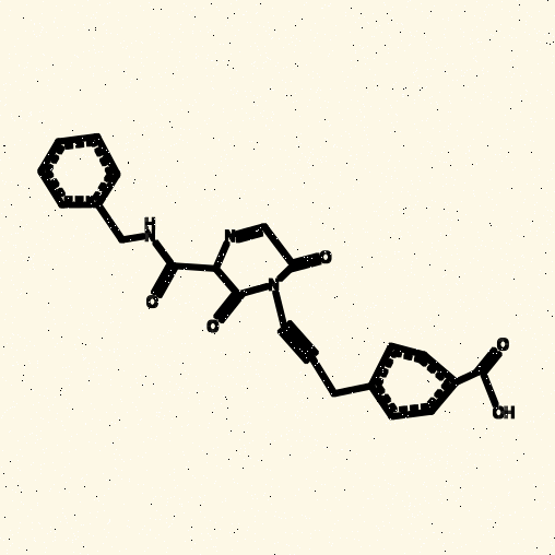 O=C(O)c1ccc(CC#CN2C(=O)C=NC(C(=O)NCc3ccccc3)C2=O)cc1